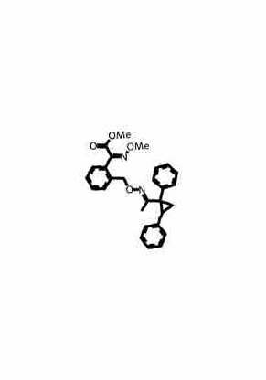 CON=C(C(=O)OC)c1ccccc1CON=C(C)C1(c2ccccc2)CC1c1ccccc1